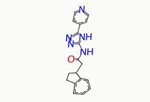 O=C(CC1CCc2ccccc21)Nc1nnc(-c2ccncc2)[nH]1